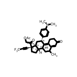 CC(=O)OCC(=O)[C@@]1(C#CC(F)(F)F)CC[C@H]2[C@@H]3CC(C)C4=CC(=O)CCC4=C3[C@@H](c3ccc(N(C)C)cc3)C[C@@]21C